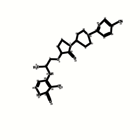 CC(COC1CCN(C2CCN(c3ccc(C#N)cn3)CC2)C1=O)Nc1cn[nH]c(=O)c1C(F)(F)F